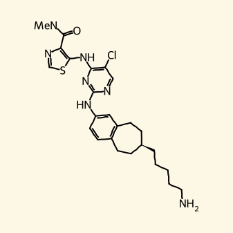 CNC(=O)c1ncsc1Nc1nc(Nc2ccc3c(c2)CC[C@@H](CCCCCN)CC3)ncc1Cl